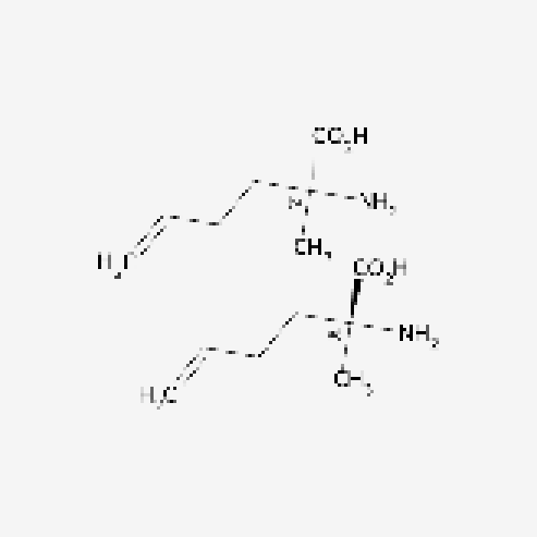 C=CCC[C@@](C)(N)C(=O)O.C=CCC[C@](C)(N)C(=O)O